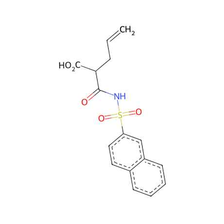 C=CCC(C(=O)O)C(=O)NS(=O)(=O)c1ccc2ccccc2c1